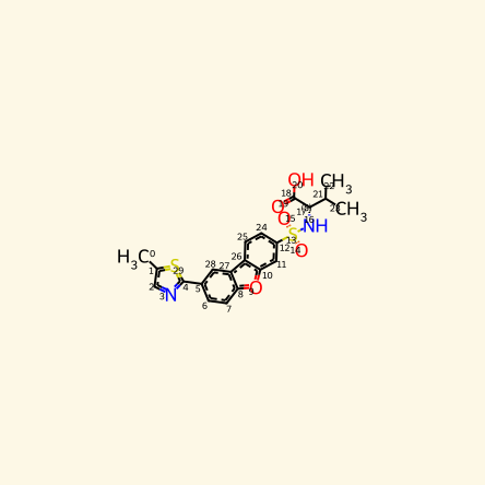 Cc1cnc(-c2ccc3oc4cc(S(=O)(=O)N[C@H](C(=O)O)C(C)C)ccc4c3c2)s1